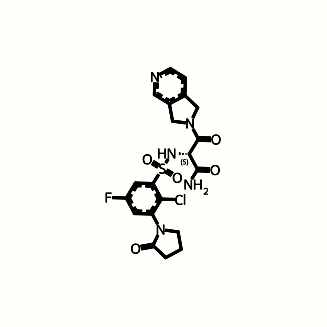 NC(=O)[C@H](NS(=O)(=O)c1cc(F)cc(N2CCCC2=O)c1Cl)C(=O)N1Cc2ccncc2C1